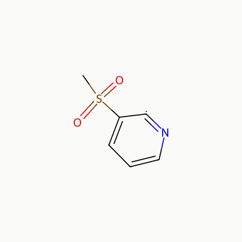 CS(=O)(=O)c1[c]nccc1